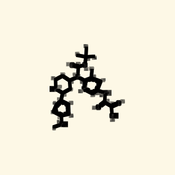 CNc1ccc(C2CC(N(C(=O)OC(C)(C)C)c3ncc(NC(=O)C(=O)O)cc3C)CCN2)cc1